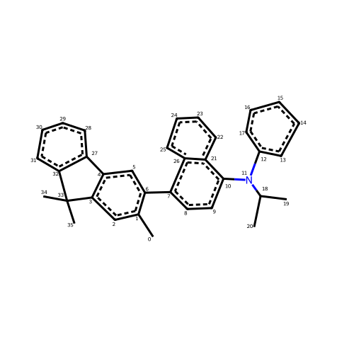 Cc1cc2c(cc1-c1ccc(N(c3ccccc3)C(C)C)c3ccccc13)-c1ccccc1C2(C)C